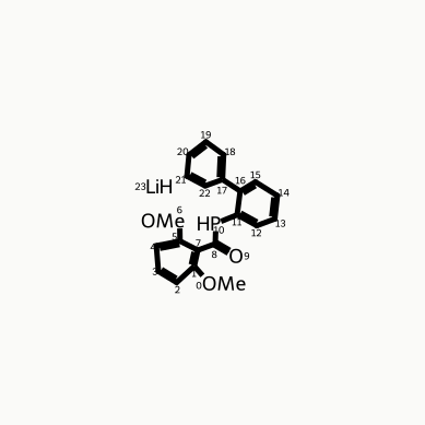 COc1cccc(OC)c1C(=O)Pc1ccccc1-c1ccccc1.[LiH]